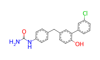 NC(=O)Nc1ccc(Cc2ccc(O)c(-c3cccc(Cl)c3)c2)cc1